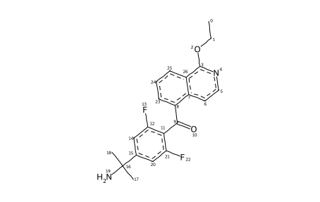 CCOc1nccc2c(C(=O)c3c(F)cc(C(C)(C)N)cc3F)cccc12